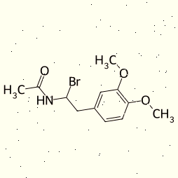 COc1ccc(CC(Br)NC(C)=O)cc1OC